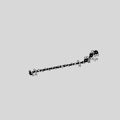 O=C(CCOCCOCCOCCOCCOCCOCCOCCOCCOCCOCCOCCOCCNC(=O)CCN1C(=O)C=CC1=O)NCCCOc1cc(Cl)c(C(=O)N[C@@H](Cc2ccc(NC(=O)c3c(Cl)cccc3Cl)cc2)C(=O)O)c(Cl)c1